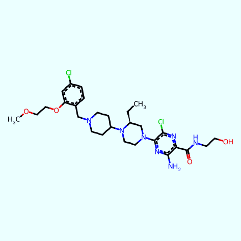 CC[C@H]1CN(c2nc(N)c(C(=O)NCCO)nc2Cl)CCN1C1CCN(Cc2ccc(Cl)cc2OCCOC)CC1